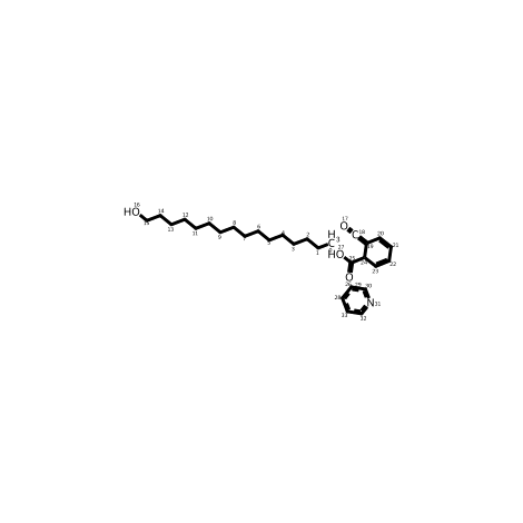 CCCCCCCCCCCCCCCCO.O=C=C1C=CC=CC1C(=O)O.c1ccncc1